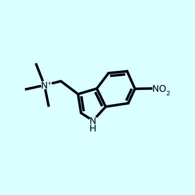 C[N+](C)(C)Cc1c[nH]c2cc([N+](=O)[O-])ccc12